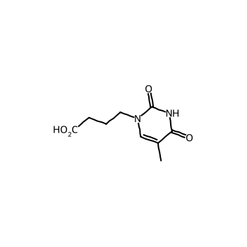 Cc1cn(CCCC(=O)O)c(=O)[nH]c1=O